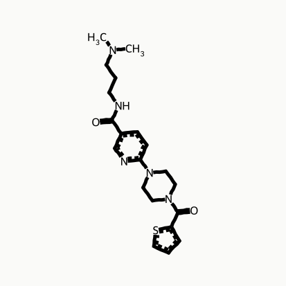 CN(C)CCCNC(=O)c1ccc(N2CCN(C(=O)c3cccs3)CC2)nc1